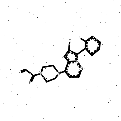 C=CC(=O)N1CCN(c2ccnn3c(-c4ccccc4F)c(Cl)cc23)CC1